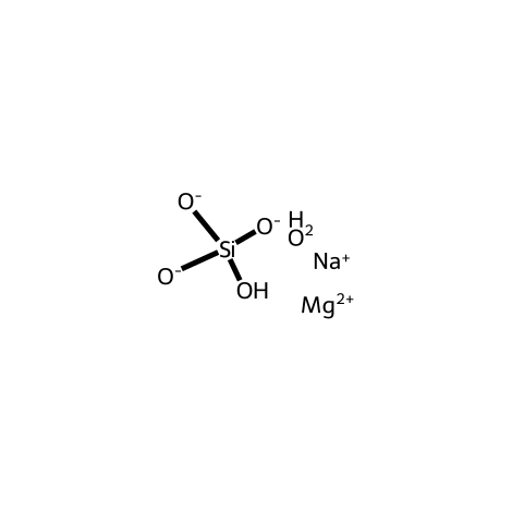 O.[Mg+2].[Na+].[O-][Si]([O-])([O-])O